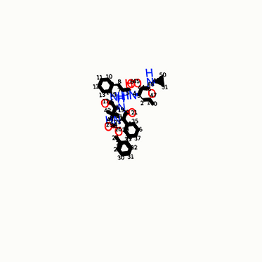 CCC[C@H](NC(=O)CC[C@@H]1CCCC[C@@H]1NC(=O)C(NC(=O)[C@@H](NC(=O)OCc1ccccc1)C1CCCCC1)C(C)(C)C)C(O)C(=O)NC1CC1